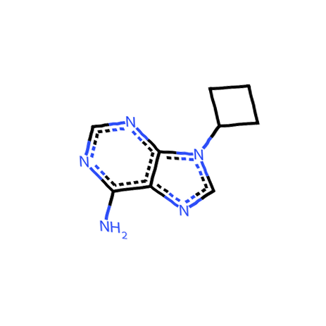 Nc1ncnc2c1ncn2C1CCC1